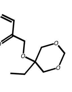 C=CC(=O)COC1(CC)COCOC1